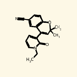 CCn1cccc(C2=CC(C)(C)Oc3ccc(C#N)cc32)c1=O